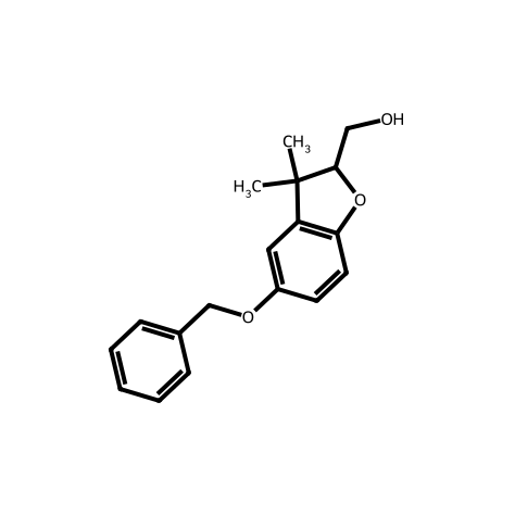 CC1(C)c2cc(OCc3ccccc3)ccc2OC1CO